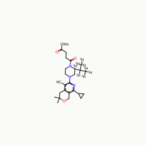 [2H]C([2H])([2H])C([2H])(C([2H])([2H])[2H])[C@@]1([2H])CN(c2nc(C3CC3)c3c(c2C#N)CC(C)(C)OC3)CCN1C(=O)CCC(=O)OC